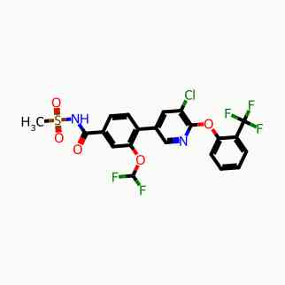 CS(=O)(=O)NC(=O)c1ccc(-c2cnc(Oc3ccccc3C(F)(F)F)c(Cl)c2)c(OC(F)F)c1